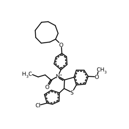 CCCC(=O)[N+](=C1c2ccc(OC)cc2SC1c1ccc(Cl)cc1)c1ccc(OC2CCCCCCCC2)cc1